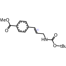 COC(=O)c1ccc(/C=C/CNC(=O)OC(C)(C)C)cc1